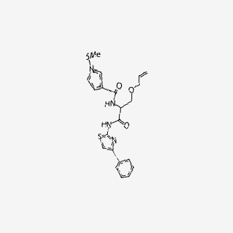 C=CCOCC(NC(=O)c1ccn(SC)c1)C(=O)Nc1nc(-c2ccccc2)cs1